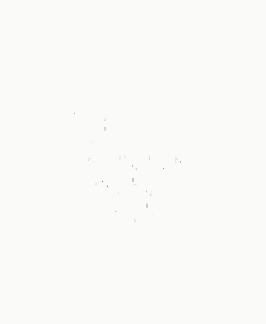 CN(C)CCn1c(=O)c(Cc2ccccc2)nc2cccnc21